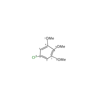 COc1[c]c(Cl)cc(OC)c1OC